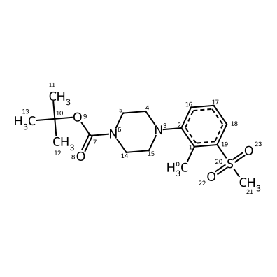 Cc1c(N2CCN(C(=O)OC(C)(C)C)CC2)cccc1S(C)(=O)=O